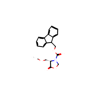 CC(C)(C)OC[C@@H]1C(=O)OCN1C(=O)OCC1c2ccccc2-c2ccccc21